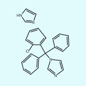 Clc1ccccc1C(c1ccccc1)(c1ccccc1)n1ccnc1.c1c[nH]cn1